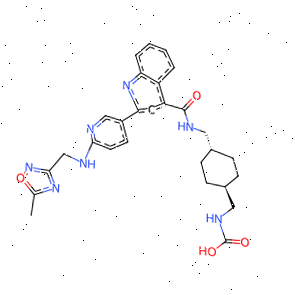 Cc1nc(CNc2ccc(-c3cc(C(=O)NC[C@H]4CC[C@H](CNC(=O)O)CC4)c4ccccc4n3)cn2)no1